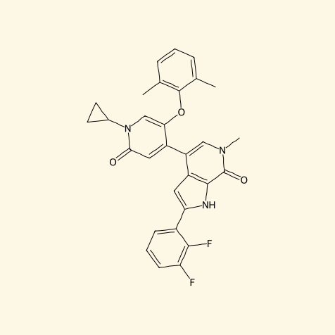 Cc1cccc(C)c1Oc1cn(C2CC2)c(=O)cc1-c1cn(C)c(=O)c2[nH]c(-c3cccc(F)c3F)cc12